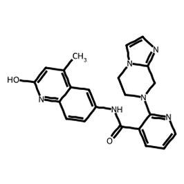 Cc1cc(O)nc2ccc(NC(=O)c3cccnc3N3CCn4ccnc4C3)cc12